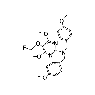 COc1ccc(CN(Cc2ccc(OC)cc2)c2nc(OC)c(OCF)c(OC)n2)cc1